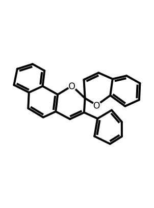 C1=CC2(Oc3ccccc31)Oc1c(ccc3ccccc13)C=C2c1ccccc1